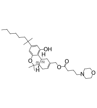 CCCCCCC(C)(C)c1cc(O)c2c(c1)OC(C)(C)[C@H]1CC=C(COC(=O)CCCN3CCOCC3)C[C@H]21